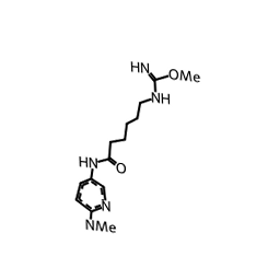 CNc1ccc(NC(=O)CCCCCNC(=N)OC)cn1